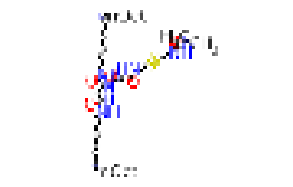 CCCCCCCC/C=C\CCCCCCCCNC(=O)CCC(NC(=O)CCC(=O)NCCSSCCNC(=O)CN(C)C)C(=O)NCCCCCCCC/C=C\CCCCCCCC